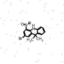 CC1(C)c2ccccc2Nc2c([N+](=O)[O-])cc(Br)cc21